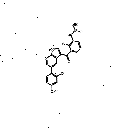 CCCC[S+]([O-])Nc1cccc(C(=O)c2c[nH]c3ncc(-c4ccc(OC)cc4Cl)cc23)c1F